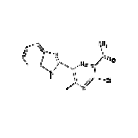 CCc1nc(C)c(-c2nc3ccccc3[nH]2)nc1C(N)=O